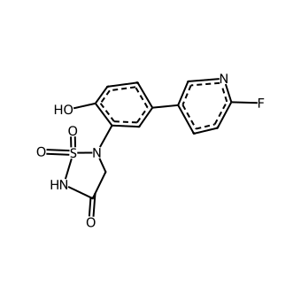 O=C1CN(c2cc(-c3ccc(F)nc3)ccc2O)S(=O)(=O)N1